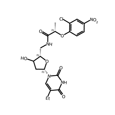 CCc1cn([C@@H]2CC(O)[C@H](CNC(=O)[C@H](C)Oc3ccc([N+](=O)[O-])cc3Cl)O2)c(=O)[nH]c1=O